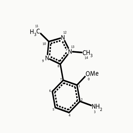 COc1c(N)cccc1-c1nc(C)nn1C